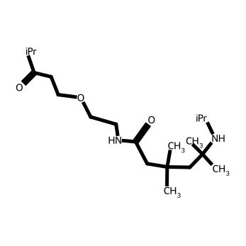 CC(C)NC(C)(C)CC(C)(C)CC(=O)NCCOCCC(=O)C(C)C